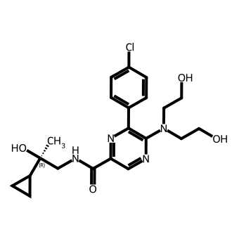 C[C@](O)(CNC(=O)c1cnc(N(CCO)CCO)c(-c2ccc(Cl)cc2)n1)C1CC1